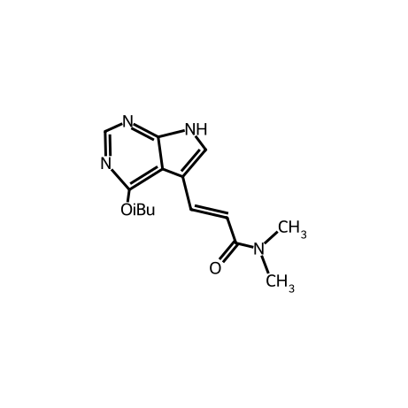 CC(C)COc1ncnc2[nH]cc(C=CC(=O)N(C)C)c12